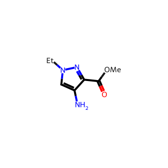 CCn1cc(N)c(C(=O)OC)n1